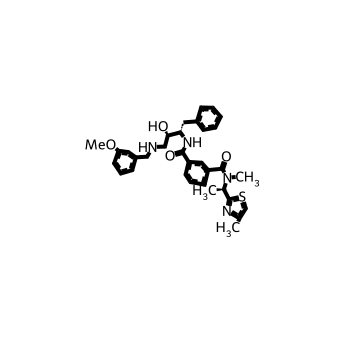 COc1cccc(CNC[C@@H](O)[C@H](Cc2ccccc2)NC(=O)c2cccc(C(=O)N(C)[C@H](C)c3nc(C)cs3)c2)c1